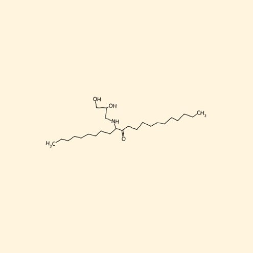 CCCCCCCCCCCC(=O)C(CCCCCCCCC)NCC(O)CO